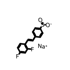 O=S([O-])c1ccc(C=Cc2ccc(F)cc2F)cc1.[Na+]